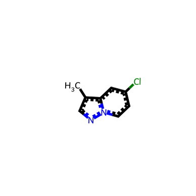 Cc1cnn2ccc(Cl)cc12